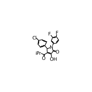 CC(C)C(=O)C1=C(O)C(=O)N(c2ccc(F)c(F)c2)C1c1ccc(Cl)cc1